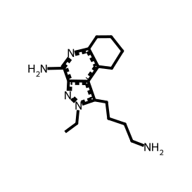 CCn1nc2c(N)nc3c(c2c1CCCCN)CCCC3